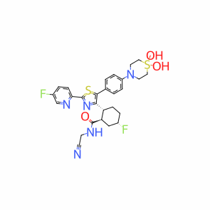 N#CCNC(=O)[C@@H]1C[C@@H](F)CC[C@H]1c1nc(-c2ccc(F)cn2)sc1-c1ccc(N2CCS(O)(O)CC2)cc1